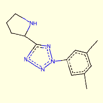 Cc1cc(C)cc(-n2nnc(C3CCCN3)n2)c1